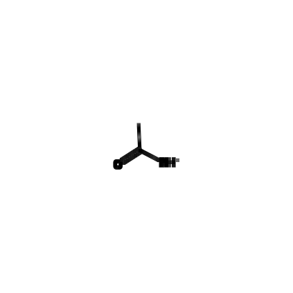 C[C](=O)[BiH-]